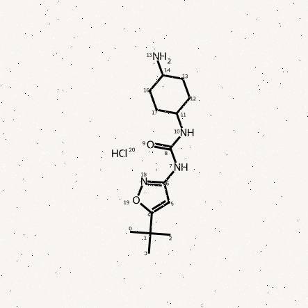 CC(C)(C)c1cc(NC(=O)NC2CCC(N)CC2)no1.Cl